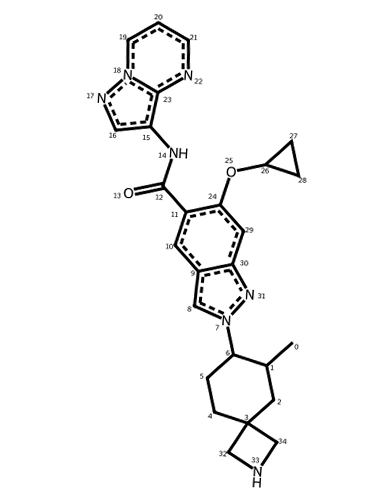 CC1CC2(CCC1n1cc3cc(C(=O)Nc4cnn5cccnc45)c(OC4CC4)cc3n1)CNC2